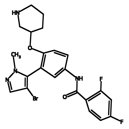 Cn1ncc(Br)c1-c1cc(NC(=O)c2ccc(F)cc2F)ccc1OC1CCCNC1